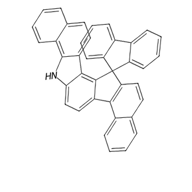 c1ccc2c(c1)-c1ccccc1C21c2ccc3ccccc3c2-c2ccc3[nH]c4c5ccccc5ccc4c3c21